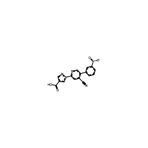 N#Cc1cc(-n2cc(C(=O)O)cn2)ncc1-c1cccc([N+](=O)[O-])c1